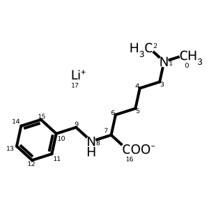 CN(C)CCCCC(NCc1ccccc1)C(=O)[O-].[Li+]